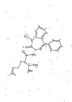 C=CCCC(C(=O)N[C@H]1N=C(c2ccccc2)c2ccccc2N(C)C1=O)C(O)CCCC